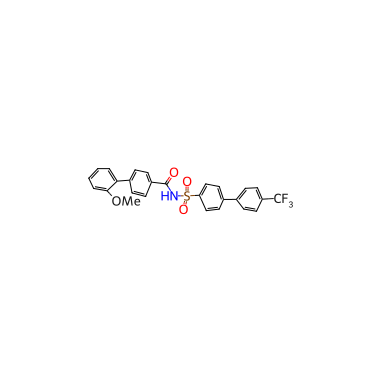 COc1ccccc1-c1ccc(C(=O)NS(=O)(=O)c2ccc(-c3ccc(C(F)(F)F)cc3)cc2)cc1